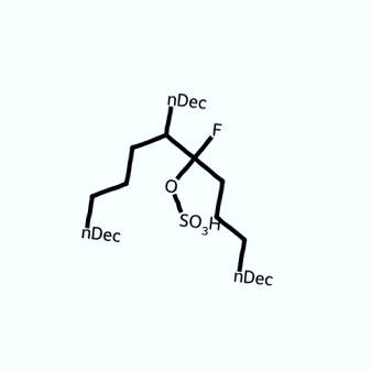 CCCCCCCCCCCCCC(CCCCCCCCCC)C(F)(CCCCCCCCCCCCC)OS(=O)(=O)O